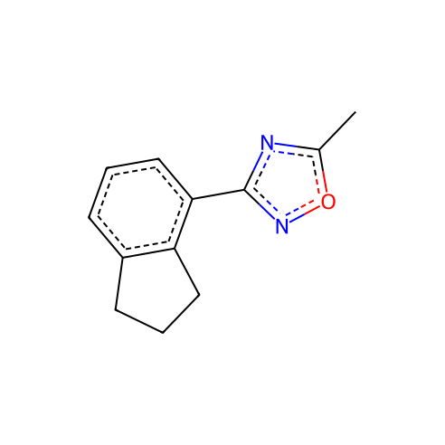 Cc1nc(-c2cccc3c2CCC3)no1